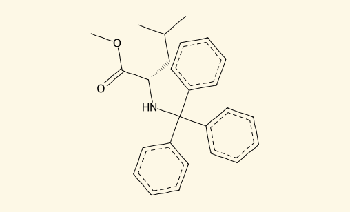 COC(=O)[C@H](CC(C)C)NC(c1ccccc1)(c1ccccc1)c1ccccc1